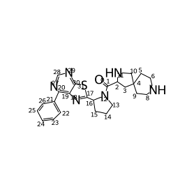 O=C(C1CC2(CCNCC2)CN1)N1CCCC1c1nc2c(-c3ccccc3)ncnc2s1